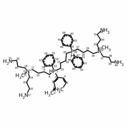 C=C/C=C(\C=C/C)[PH](CCCC[N+](C)(CCCN)CCCN)(CCCC[PH](CCCC[N+](C)(CCCN)CCCN)(c1ccccc1)c1ccccc1)c1ccccc1